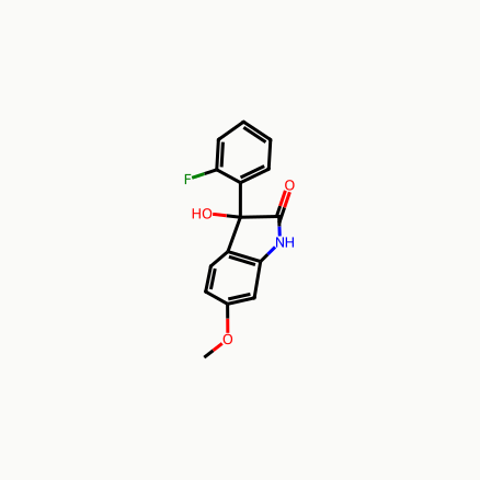 COc1ccc2c(c1)NC(=O)C2(O)c1ccccc1F